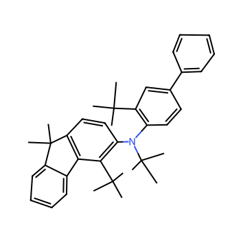 CC(C)(C)c1cc(-c2ccccc2)ccc1N(c1ccc2c(c1C(C)(C)C)-c1ccccc1C2(C)C)C(C)(C)C